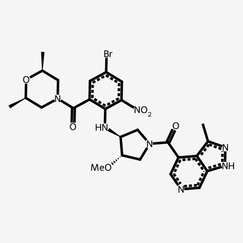 CO[C@H]1CN(C(=O)c2cncc3[nH]nc(C)c23)C[C@@H]1Nc1c(C(=O)N2C[C@@H](C)O[C@@H](C)C2)cc(Br)cc1[N+](=O)[O-]